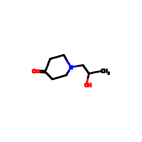 CC(O)CN1CCC(=O)CC1